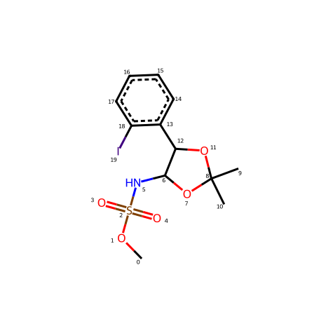 COS(=O)(=O)NC1OC(C)(C)OC1c1ccccc1I